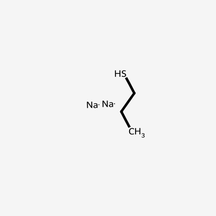 CCCS.[Na].[Na]